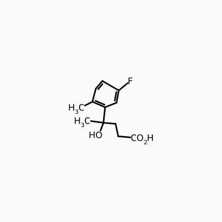 Cc1ccc(F)cc1C(C)(O)CCC(=O)O